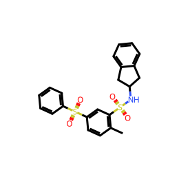 Cc1ccc(S(=O)(=O)c2ccccc2)cc1S(=O)(=O)NC1Cc2ccccc2C1